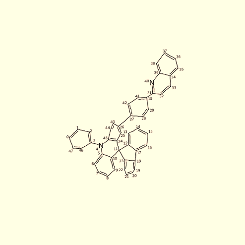 c1ccc(N2c3ccccc3C3(c4ccccc4-c4ccccc43)c3cc(-c4ccc(-c5ccc6ccccc6n5)cc4)ccc32)cc1